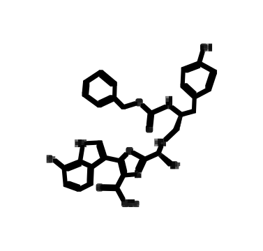 COC(=O)c1nc([C@@H](NC[C@H](Cc2ccc(O)cc2)NC(=O)OCc2ccccc2)C(C)C)oc1-c1c[nH]c2c(Br)cccc12